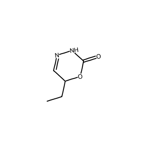 CCC1C=NNC(=O)O1